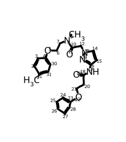 Cc1ccc(OCCN(C)C(=O)Cn2ccc(NC(=O)CCOc3ccccc3)n2)cc1